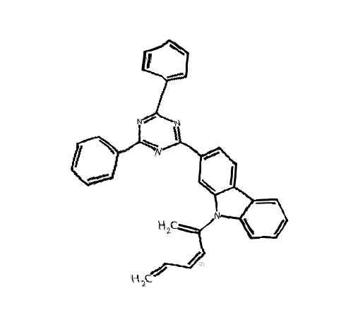 C=C/C=C\C(=C)n1c2ccccc2c2ccc(-c3nc(-c4ccccc4)nc(-c4ccccc4)n3)cc21